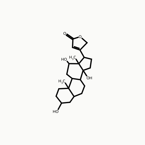 CC12CCC(O)CC1CCC1C2CC(O)C2(C)C(C3=CC(=O)OC3)CCC12O